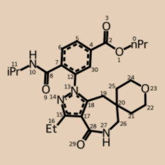 CCCOC(=O)c1ccc(C(=O)NC(C)C)c(-n2nc(CC)c3c2CC2(CCOCC2)CNC3=O)c1